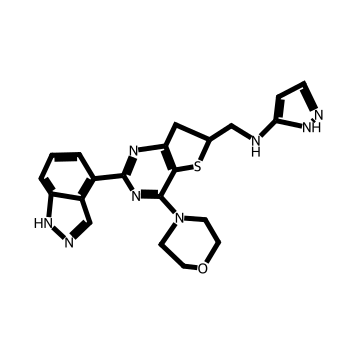 c1cc(-c2nc3c(c(N4CCOCC4)n2)SC(CNc2ccn[nH]2)C3)c2cn[nH]c2c1